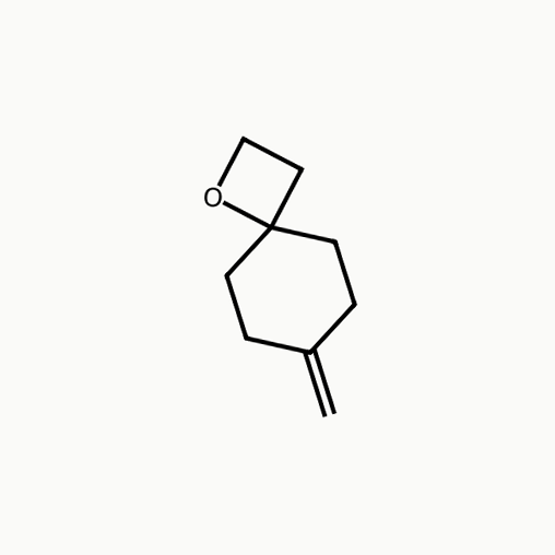 C=C1CCC2(CCO2)CC1